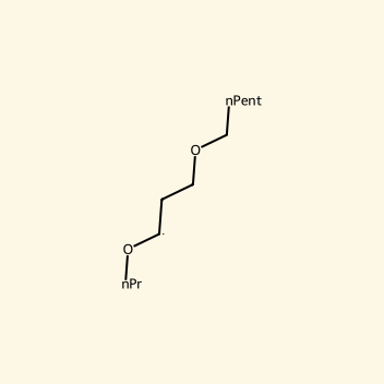 CCCCCCOCC[CH]OCCC